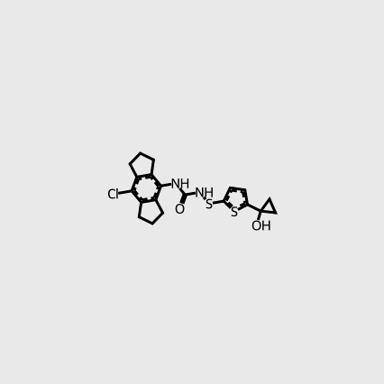 O=C(NSc1ccc(C2(O)CC2)s1)Nc1c2c(c(Cl)c3c1CCC3)CCC2